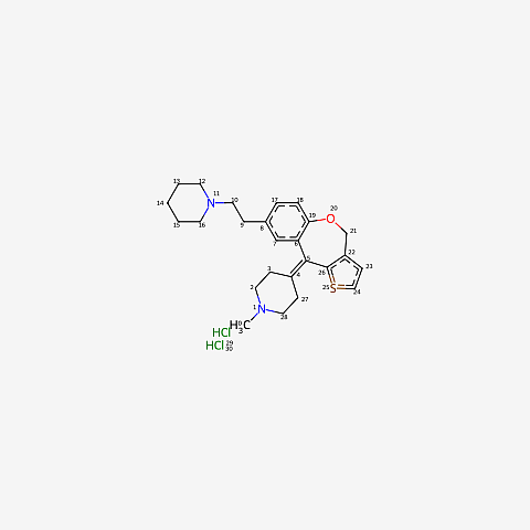 CN1CCC(=C2c3cc(CCN4CCCCC4)ccc3OCc3ccsc32)CC1.Cl.Cl